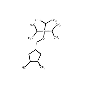 CC(C)[Si](OC[C@H]1CC(O)[C@H](C)C1)(C(C)C)C(C)C